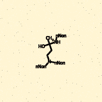 CCCCCCCCCNC(C)(O)CCN(CCCCCCCCC)CCCCCCCCC